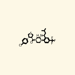 CC(C)C[C@H](N)c1cc(C(F)(F)F)ccc1N1CCN(C(=O)[C@@H]2CSC[C@H]2c2ccc(Cl)cc2)CC1